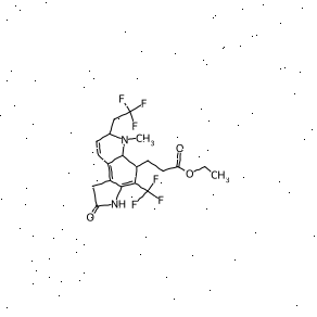 CCOC(=O)CCC1C(C(F)(F)F)=C2NC(=O)CC2=C2C=CC(CC(F)(F)F)N(C)C21